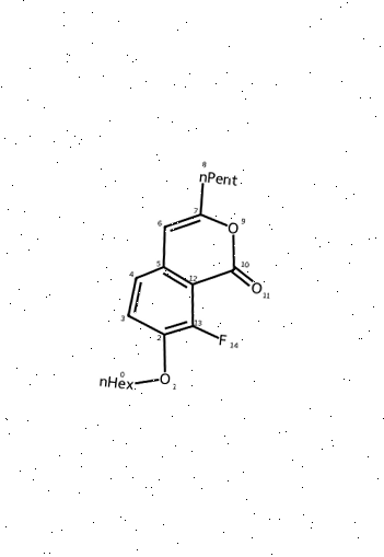 CCCCCCOc1ccc2cc(CCCCC)oc(=O)c2c1F